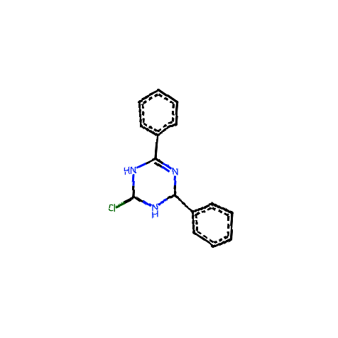 ClC1NC(c2ccccc2)=NC(c2ccccc2)N1